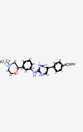 COc1ccc(-c2cnc(Nc3cccc(C4CN(C(=O)O)CCO4)c3)nc2)cc1